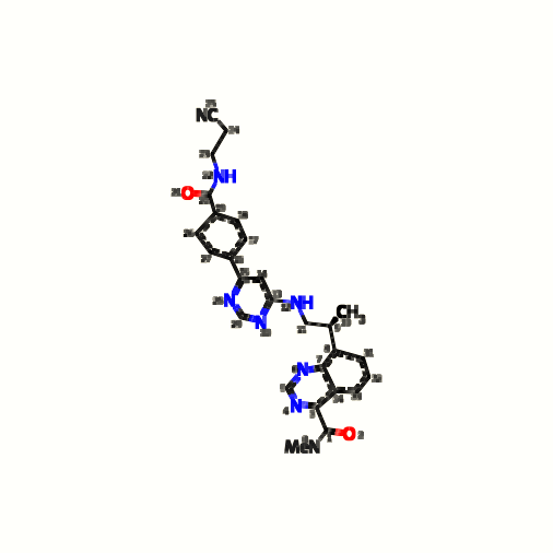 CNC(=O)c1ncnc2c([C@H](C)CNc3cc(-c4ccc(C(=O)NCCC#N)cc4)ncn3)cccc12